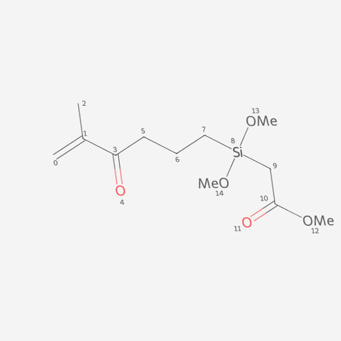 C=C(C)C(=O)CCC[Si](CC(=O)OC)(OC)OC